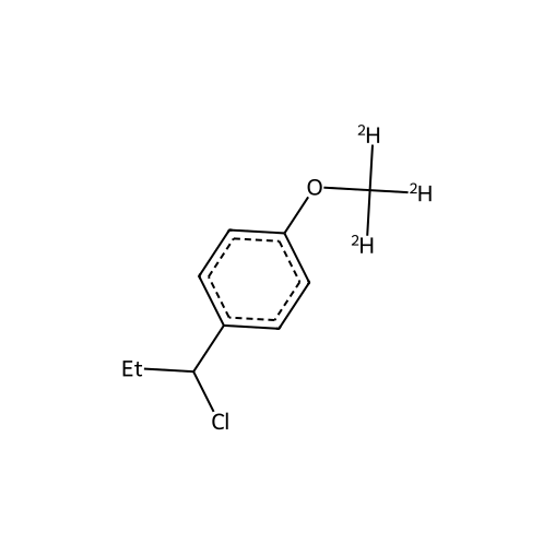 [2H]C([2H])([2H])Oc1ccc(C(Cl)CC)cc1